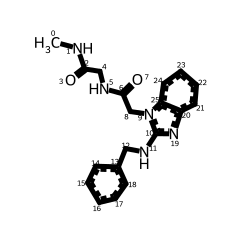 CNC(=O)CNC(=O)Cn1c(NCc2ccccc2)nc2ccccc21